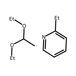 [CH2]C(OCC)OCC.[CH2]Cc1ccccn1